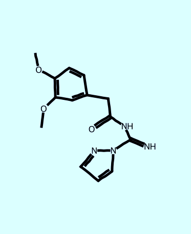 COc1ccc(CC(=O)NC(=N)n2cccn2)cc1OC